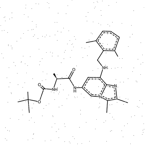 Cc1cccc(C)c1CNc1cc(NC(=O)[C@H](C)NC(=O)OC(C)(C)C)cn2c(C)c(C)nc12